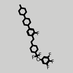 CC1CCC(C2CCC(c3ccc(CCC4CCC(C(F)(F)Oc5cc(F)c(F)c(F)c5)CC4)c(F)c3)CC2)CC1